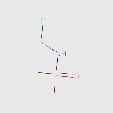 C[SH](=O)(F)NSF